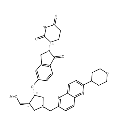 COC[C@@H]1CN(Cc2ccc3nc(C4CCOCC4)ccc3n2)C[C@H]1Oc1ccc2c(c1)CN([C@H]1CCC(=O)NC1=O)C2=O